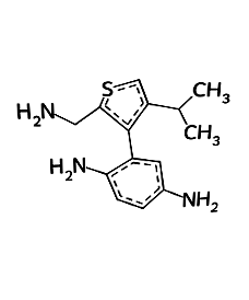 CC(C)c1csc(CN)c1-c1cc(N)ccc1N